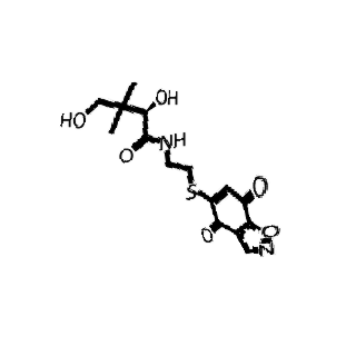 CC(C)(CO)[C@@H](O)C(=O)NCCSC1=CC(=O)c2oncc2C1=O